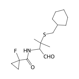 CC(C)(SCC1CCCCC1)C(C=O)NC(=O)C1(F)CC1